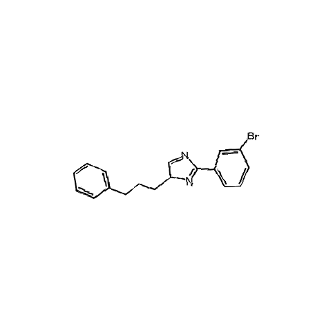 Brc1cccc(C2=NC(CCCc3ccccc3)C=N2)c1